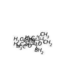 B[C@@H]1O[C@](C=C)(CC)C(C)[C@@H]1O[Si](C)(C)C(C)(C)C